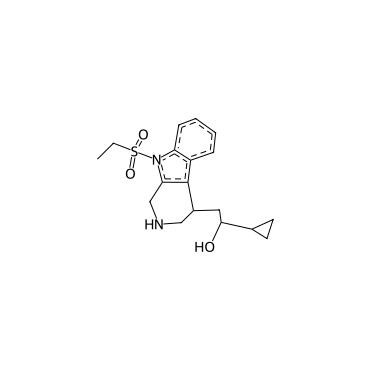 CCS(=O)(=O)n1c2c(c3ccccc31)C(CC(O)C1CC1)CNC2